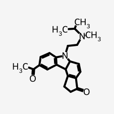 CC(=O)c1ccc2c(c1)C1C3=C(C=CC1N2CCN(C)C(C)C)C(=O)CC3